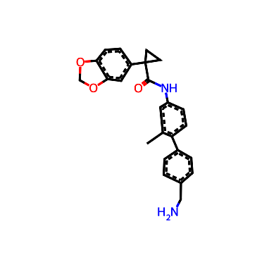 Cc1cc(NC(=O)C2(c3ccc4c(c3)OCO4)CC2)ccc1-c1ccc(CN)cc1